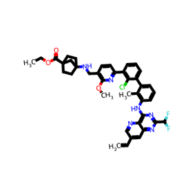 C=Cc1cnc2c(Nc3cccc(-c4cccc(-c5ccc(CNC67CCC(C(=O)OCC)(CC6)C7)c(OC)n5)c4Cl)c3C)nc(C(F)F)nc2c1